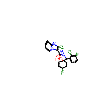 O=C(NC(c1cccc(F)c1Cl)[C@]1(O)CC[C@@H](F)CC1)c1c(Cl)nc2ccccn12